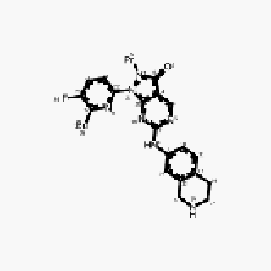 CC(C)n1c(=O)c2cnc(Nc3ccc4c(c3)CNCC4)nc2n1-c1ccc(F)c(C(C)(C)C)n1